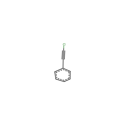 ClC#Cc1cc[c]cc1